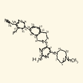 CN1CCN(c2cc(N3CCc4ccc(-c5cnc(C#N)c(F)c5)cc4C3)nc(N)n2)CC1